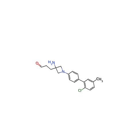 Cc1ccc(Cl)c(-c2ccc(N3CC(N)(CCC=O)C3)cc2)c1